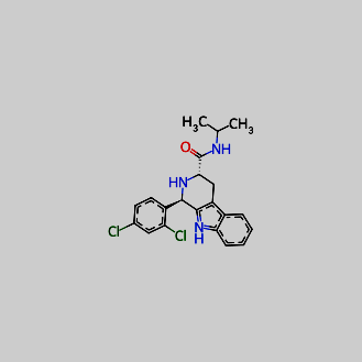 CC(C)NC(=O)[C@@H]1Cc2c([nH]c3ccccc23)[C@@H](c2ccc(Cl)cc2Cl)N1